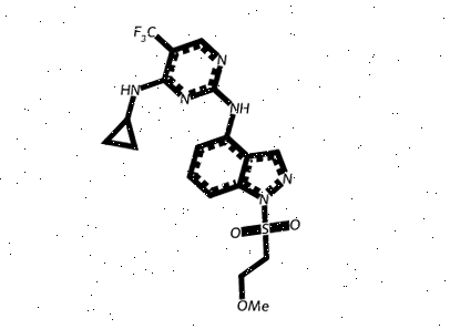 COCCS(=O)(=O)n1ncc2c(Nc3ncc(C(F)(F)F)c(NC4CC4)n3)cccc21